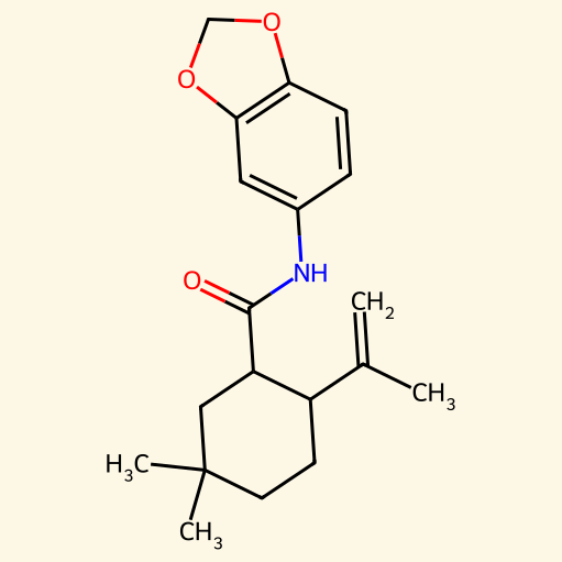 C=C(C)C1CCC(C)(C)CC1C(=O)Nc1ccc2c(c1)OCO2